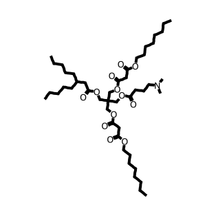 CCCCCCCCOC(=O)CC(=O)OCC(COC(=O)CCCN(C)C)(COC(=O)CC(=O)OCCCCCCCC)COC(=O)CC(CCCCC)CCCCC